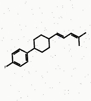 CC(C)=C/C=C/C1CCC(c2ccc(F)cc2)CC1